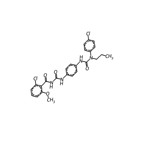 CCCN(C(=O)Nc1ccc(NC(=O)NC(=O)c2c(Cl)cccc2OC)cc1)c1ccc(Cl)cc1